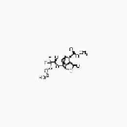 COC(=O)C1C2CC3C(OC(=O)C31)C2OC(=O)C(F)(F)SOOO